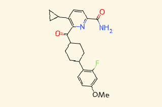 COc1ccc(C2CCC(C(=O)c3nc(C(N)=O)ccc3C3CC3)CC2)c(F)c1